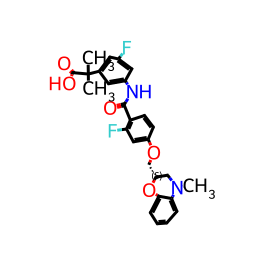 CN1C[C@@H](COc2ccc(C(=O)Nc3cc(F)cc(C(C)(C)C(=O)O)c3)c(F)c2)Oc2ccccc21